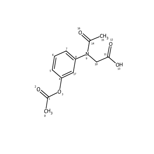 CC(=O)Oc1cccc(N(CC(=O)O)C(C)=O)c1